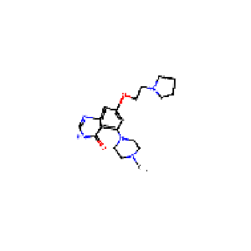 CN1CCN(c2cc(OCCN3CCCC3)cc3nc[nH]c(=O)c23)CC1